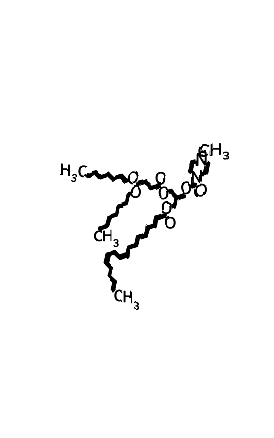 CCCCC/C=C\C/C=C\CCCCCCCC(=O)OCC(COC(=O)CCC(OCCCCCCCC)OCCCCCCCC)COC(=O)N1CCN(C)CC1